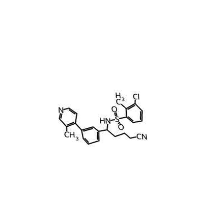 Cc1cnccc1-c1cccc(C(CCCC#N)NS(=O)(=O)c2cccc(Cl)c2C)c1